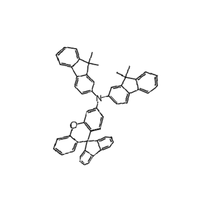 CC1(C)c2ccccc2-c2ccc(N(c3ccc4c(c3)Oc3ccccc3C43c4ccccc4-c4ccccc43)c3ccc4c(c3)C(C)(C)c3ccccc3-4)cc21